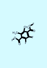 Cc1c(C)c(C(=O)OF)c(F)c(F)c1C(=O)OF